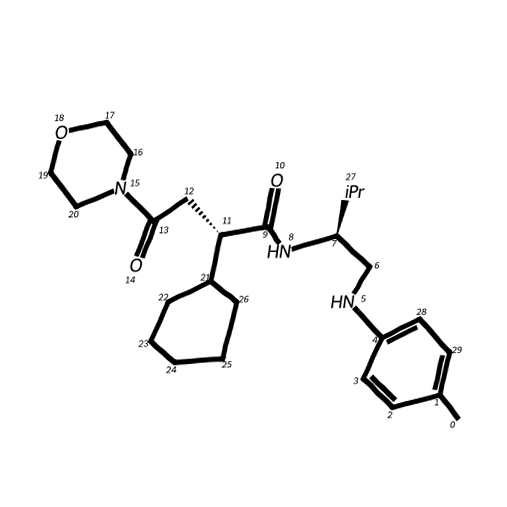 Cc1ccc(NC[C@@H](NC(=O)[C@@H](CC(=O)N2CCOCC2)C2CCCCC2)C(C)C)cc1